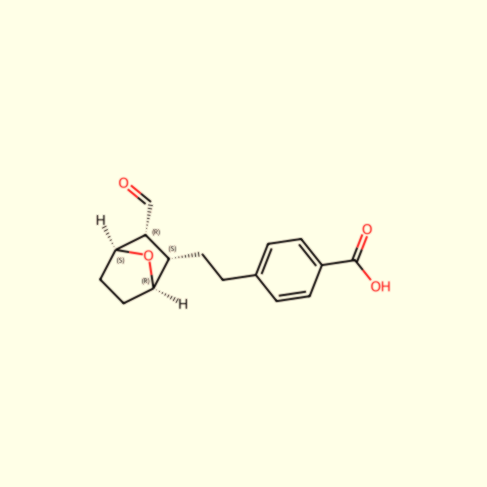 O=C[C@@H]1[C@H](CCc2ccc(C(=O)O)cc2)[C@H]2CC[C@@H]1O2